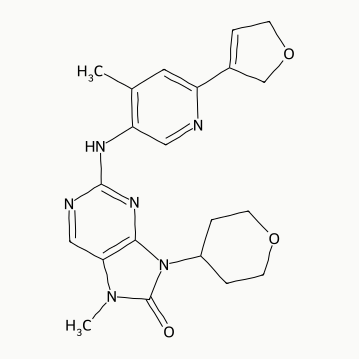 Cc1cc(C2=CCOC2)ncc1Nc1ncc2c(n1)n(C1CCOCC1)c(=O)n2C